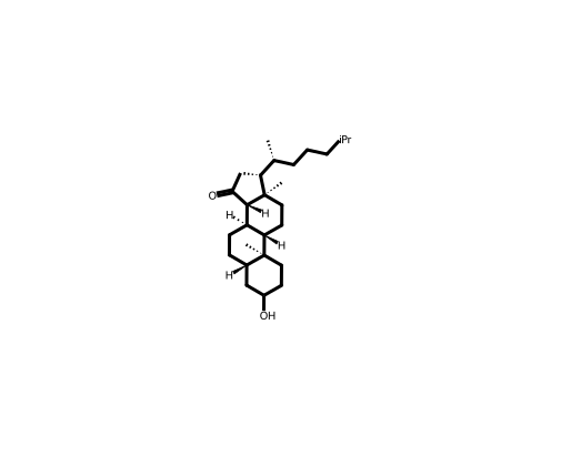 CC(C)CCC[C@@H](C)[C@H]1CC(=O)[C@H]2[C@@H]3CC[C@H]4CC(O)CC[C@]4(C)[C@H]3CC[C@]12C